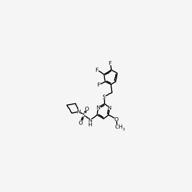 COc1cc(NS(=O)(=O)N2CCC2)nc(SCc2ccc(F)c(F)c2F)n1